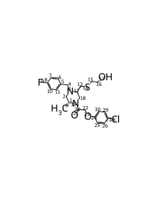 C[C@@H]1CN(Cc2ccc(F)cc2)[C@@H](CSCCO)CN1C(=O)COc1ccc(Cl)cc1